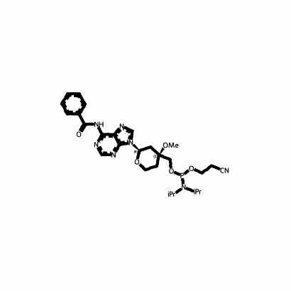 CO[C@@]1(COP(OCCC#N)N(C(C)C)C(C)C)CCO[C@@H](n2cnc3c(NC(=O)c4ccccc4)ncnc32)C1